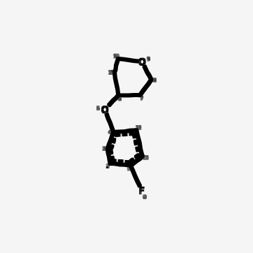 Fc1ccc(OC2CCOCC2)cc1